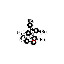 Cc1cc2c3c(c1)N(c1c(-c4ccccc4)ccc4c1OCCCO4)c1ccc(C(C)(C)C)cc1B3c1cc(C(C)(C)C)ccc1N2c1ccc(C(C)(C)C)cc1